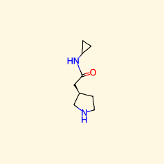 O=C(C[C@H]1CCNC1)NC1CC1